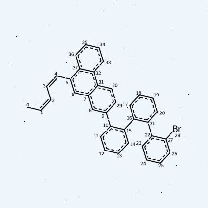 C/C=C\C=C/c1cc2cc(-c3ccccc3-c3ccccc3-c3ccccc3Br)ccc2c2ccccc12